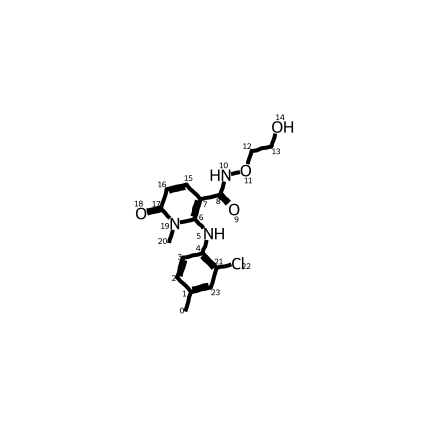 Cc1ccc(Nc2c(C(=O)NOCCO)ccc(=O)n2C)c(Cl)c1